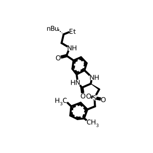 CCCC[C@H](CC)CNC(=O)c1ccc2c(c1)NC(=O)[C@H](CS(=O)(=O)Cc1cc(C)ccc1C)N2